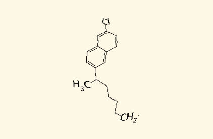 [CH2]CCCCC(C)c1ccc2cc(Cl)ccc2c1